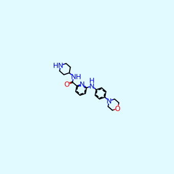 O=C(NC1CCNCC1)c1cccc(Nc2ccc(N3CCOCC3)cc2)n1